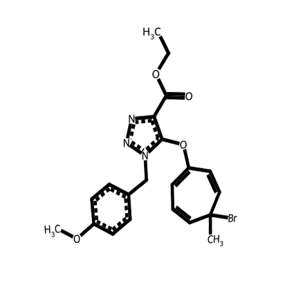 CCOC(=O)c1nnn(Cc2ccc(OC)cc2)c1OC1=CC=CC(C)(Br)C=C1